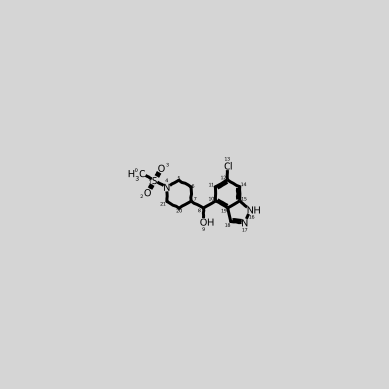 CS(=O)(=O)N1CCC(C(O)c2cc(Cl)cc3[nH]ncc23)CC1